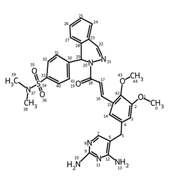 COc1cc(Cc2cnc(N)nc2N)cc(C=CC(=O)N2N=Cc3ccccc3C2c2ccc(S(=O)(=O)N(C)C)cc2)c1OC